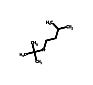 CC(C)CC[N]C(C)(C)C